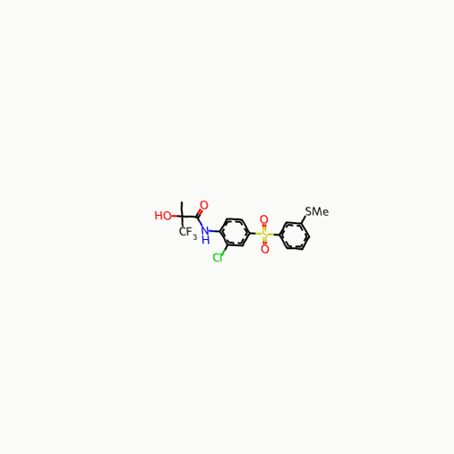 CSc1cccc(S(=O)(=O)c2ccc(NC(=O)C(C)(O)C(F)(F)F)c(Cl)c2)c1